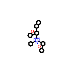 c1ccc(-c2nc(-c3cccc4c3oc3ccccc34)nc(-c3ccc(-c4ccc5ccccc5c4)c4oc5ccccc5c34)n2)cc1